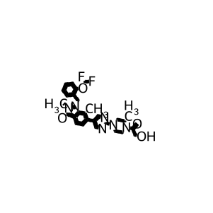 Cc1c(-c2cnc(N3CCN(C(=O)CO)C(C)C3)nc2)ccc2c(=O)n(C)n(Cc3ccccc3OC(F)F)c12